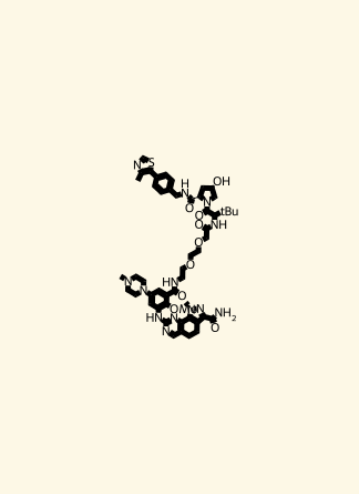 COc1c(Nc2ncc3c(n2)-c2c(c(C(N)=O)nn2C)CC3)cc(N2CCN(C)CC2)cc1C(=O)NCCOCCOCC(=O)NC(C(=O)N1C[C@H](O)C[C@H]1C(=O)NCc1ccc(-c2scnc2C)cc1)C(C)(C)C